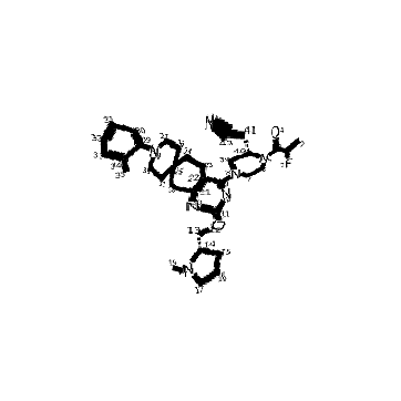 C=C(F)C(=O)N1CCN(c2nc(OC[C@@H]3CCCN3C)nc3c2CCC2(CCN(c4ccccc4C)CC2)C3)C[C@@H]1CC#N